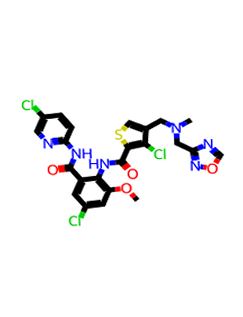 COc1cc(Cl)cc(C(=O)Nc2ccc(Cl)cn2)c1NC(=O)c1scc(CN(C)Cc2ncon2)c1Cl